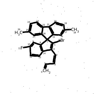 C=C/C=C\C1=C(Br)C2(c3cc(F)ccc31)c1cc(C)ccc1-c1ccc(C)cc12